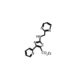 CCOC(=O)c1sc(NCc2ncccn2)nc1-c1ccccn1